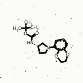 CC(C)(C)OC(=O)N[C@H]1CCN(c2cccc3c2OCCO3)C1